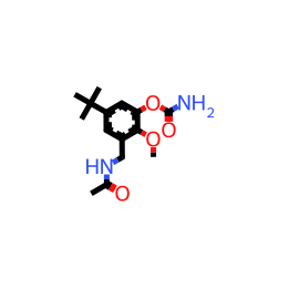 COc1c(CNC(C)=O)cc(C(C)(C)C)cc1OC(N)=O